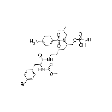 COC(=O)N[C@@H](Cc1ccc(Br)cc1)C(=O)NCCCCC(COP(=O)(O)O)N(CC(C)C)S(=O)(=O)c1ccc(N)cc1